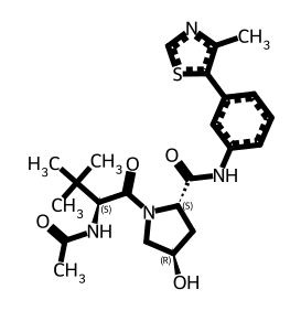 CC(=O)N[C@H](C(=O)N1C[C@H](O)C[C@H]1C(=O)Nc1cccc(-c2scnc2C)c1)C(C)(C)C